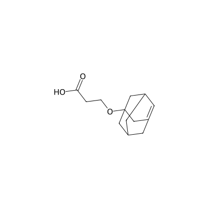 O=C(O)CCOC12CC3=CC(CC(C3)C1)C2